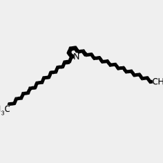 CCCCCCCCCCCCCCCCCC=Cc1cccc(C=CCCCCCCCCCCCCCCCCC)n1